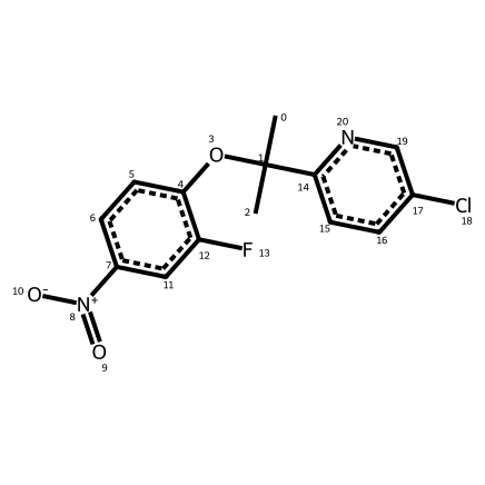 CC(C)(Oc1ccc([N+](=O)[O-])cc1F)c1ccc(Cl)cn1